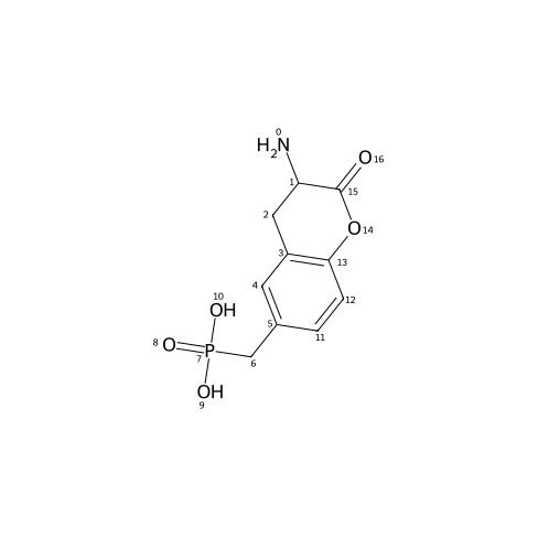 NC1Cc2cc(CP(=O)(O)O)ccc2OC1=O